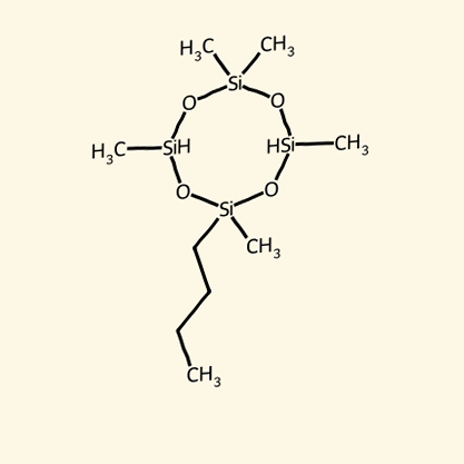 CCCC[Si]1(C)O[SiH](C)O[Si](C)(C)O[SiH](C)O1